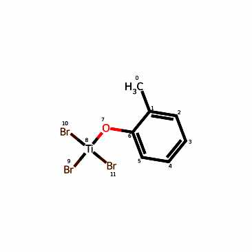 Cc1ccccc1[O][Ti]([Br])([Br])[Br]